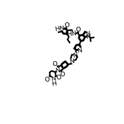 CCCc1cc(C)[nH]c(=O)c1CNC(=O)c1cc(-c2ccc(N3CCN(Cc4ccc5c(c4)C(=O)N(C4CCC(=O)NC4=O)C5=O)CC3)nc2)cc2c1cnn2C(C)C